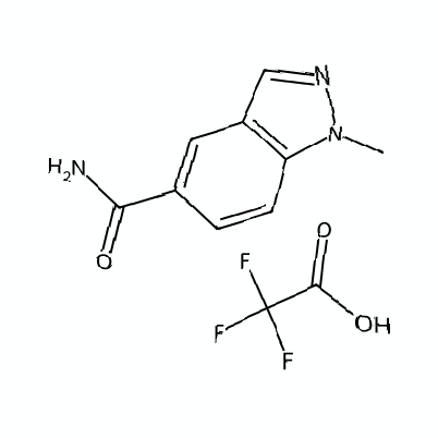 Cn1ncc2cc(C(N)=O)ccc21.O=C(O)C(F)(F)F